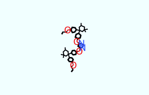 C=CCOc1ccc(C2(c3ccc(Oc4cc(Oc5ccc(C6(c7ccc(OCC=C)cc7)CC(C)CC(C)(C)C6)cc5)ncn4)cc3)CC(C)CC(C)(C)C2)cc1